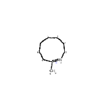 C/C1=N/CCCCCCC1